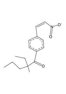 CCCC(C)(CC)C(=O)c1ccc(/C=C\[N+](=O)[O-])cc1